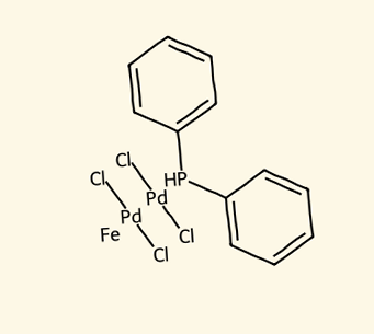 [Cl][Pd][Cl].[Cl][Pd][Cl].[Fe].c1ccc(Pc2ccccc2)cc1